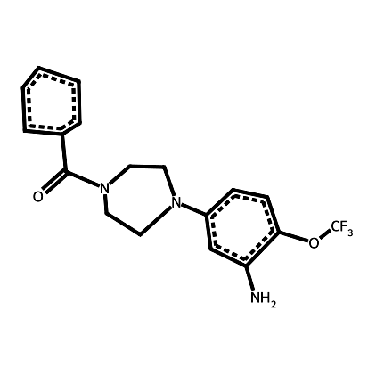 Nc1cc(N2CCN(C(=O)c3ccccc3)CC2)ccc1OC(F)(F)F